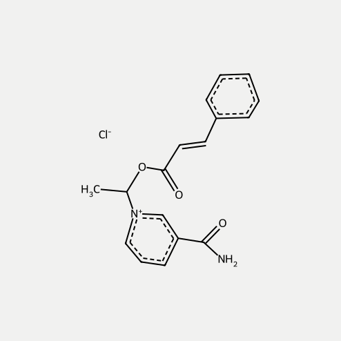 CC(OC(=O)C=Cc1ccccc1)[n+]1cccc(C(N)=O)c1.[Cl-]